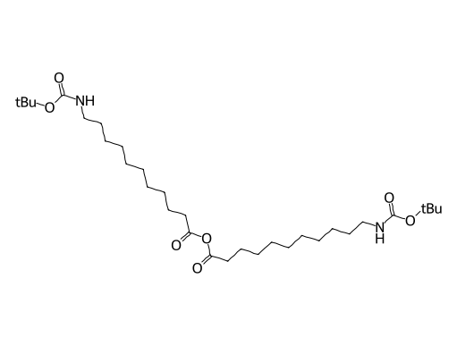 CC(C)(C)OC(=O)NCCCCCCCCCCC(=O)OC(=O)CCCCCCCCCCNC(=O)OC(C)(C)C